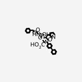 C[C@@H](C(=O)O)N(C(=O)C(Cc1cccnc1)CP(=O)(O)CNC(=O)OCc1ccccc1)c1ccc(-c2ccccc2)cc1